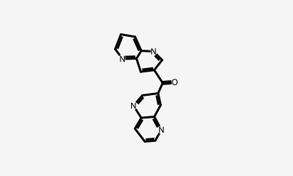 O=C(c1cnc2cccnc2c1)c1cnc2cccnc2c1